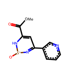 COC(=O)C1=CC(c2cccnc2)=N[S+]([O-])N1